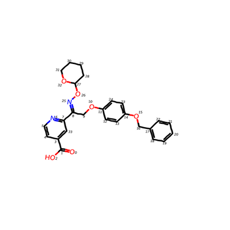 O=C(O)c1ccnc(/C(COc2ccc(OCc3ccccc3)cc2)=N/OC2CCCCO2)c1